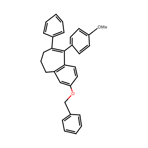 COc1ccc(C2=C(c3ccccc3)CCCc3cc(OCc4ccccc4)ccc32)cc1